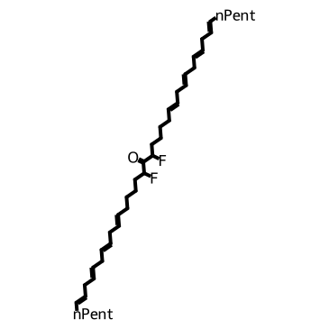 CCCCCC=CCC=CCC=CCC=CCCCCC(F)C(=O)C(F)CCCCC=CCC=CCC=CCC=CCCCCC